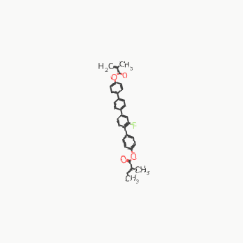 C=C(C)C(=O)Oc1ccc(-c2ccc(-c3ccc(-c4ccc(OC(=O)/C(C)=C/C)cc4)c(F)c3)cc2)cc1